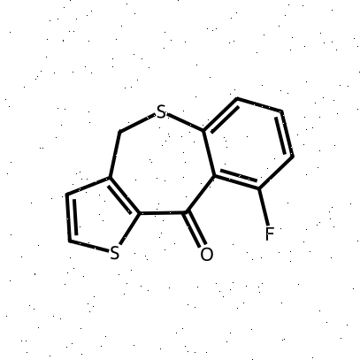 O=C1c2sccc2CSc2cccc(F)c21